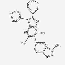 Cc1[nH]c2c(-c3ccccc3)c(-c3ccccc3)nn2c(=O)c1-c1ccc2ncn(C)c2c1